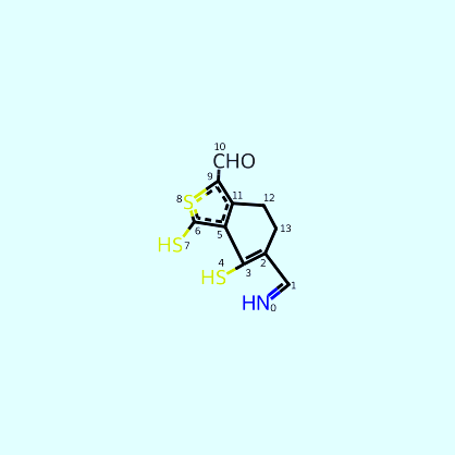 N=CC1=C(S)c2c(S)sc(C=O)c2CC1